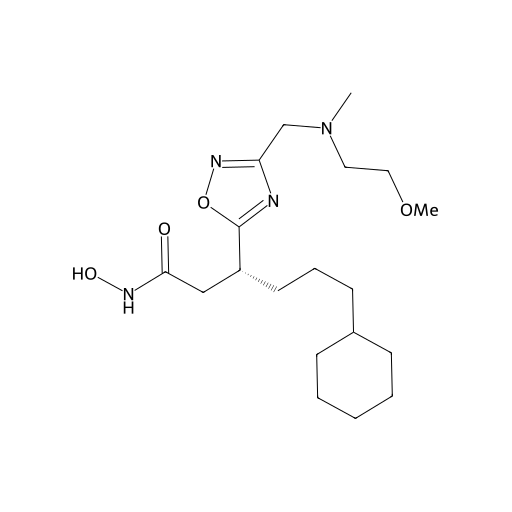 COCCN(C)Cc1noc([C@H](CCCC2CCCCC2)CC(=O)NO)n1